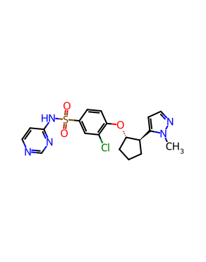 Cn1nccc1[C@H]1CCC[C@@H]1Oc1ccc(S(=O)(=O)Nc2ccncn2)cc1Cl